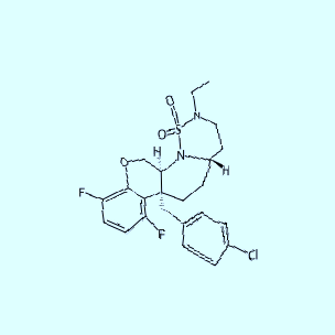 CCN1CC[C@@H]2CC[C@@]3(Cc4ccc(Cl)cc4)c4c(F)ccc(F)c4OC[C@H]3N2S1(=O)=O